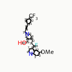 COc1ccc2nccc([C@@H](F)CC[C@@H]3CCN(CC#Cc4ccc(C(F)(F)F)cc4)C[C@@H]3CO)c2c1